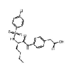 CCCC[C@@H](NS(=O)(=O)c1ccc(Cl)cc1)C(=O)Nc1ccc(CC(=O)O)cc1